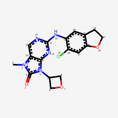 Cn1c(=O)n(C2COC2)c2nc(Nc3cc4c(cc3Cl)OCC4)ncc21